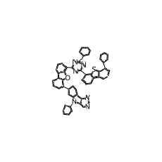 c1ccc(-c2nc(-c3cccc4c3oc3c(-c5ccc6c7ncncc7n(-c7ccccc7)c6c5)cccc34)nc(-c3cccc4c3sc3c(-c5ccccc5)cccc34)n2)cc1